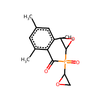 Cc1cc(C)c(C(=O)P(=O)(C2CO2)C2CO2)c(C)c1